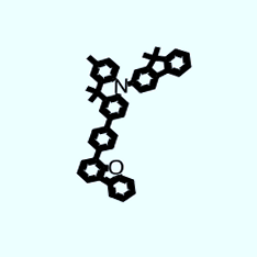 Cc1ccc2c(c1)C(C)(C)c1cc(-c3ccc(-c4cccc5c4oc4ccccc45)cc3)ccc1N2c1ccc2c(c1)C(C)(C)c1ccccc1-2